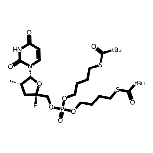 C[C@H]1C[C@@](F)(COP(=O)(OCCCCSC(=O)C(C)(C)C)OCCCCSC(=O)C(C)(C)C)O[C@H]1n1ccc(=O)[nH]c1=O